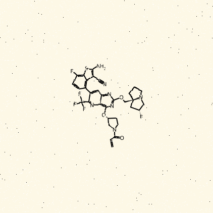 C=CC(=O)N1CC[C@@H](Oc2nc(OC[C@@]34CCCN3C[C@H](F)C4)nc3cc(-c4ccc(F)c5sc(N)c(C#N)c45)c(C(F)(F)F)nc23)C1